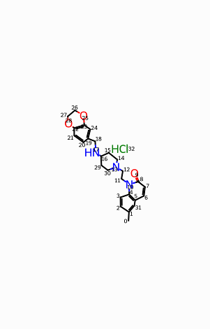 Cc1ccc2c(ccc(=O)n2CCN2CCC(NCc3ccc4c(c3)OCCO4)CC2)c1.Cl